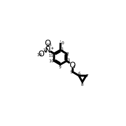 [CH2]c1cc(OCC2CC2)ccc1[N+](=O)[O-]